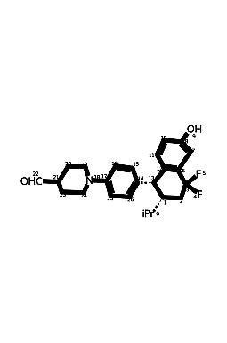 CC(C)[C@H]1CC(F)(F)c2cc(O)ccc2[C@H]1c1ccc(N2CCC(C=O)CC2)cc1